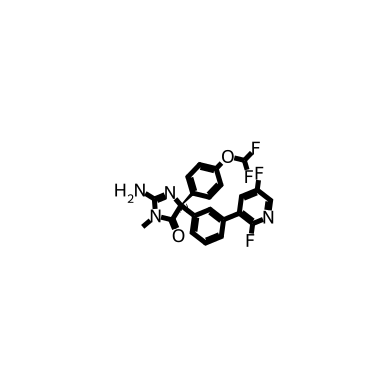 CN1C(=O)[C@@](c2ccc(OC(F)F)cc2)(c2cccc(-c3cc(F)cnc3F)c2)N=C1N